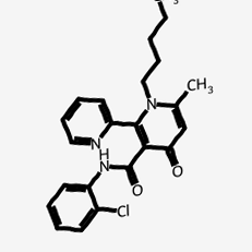 CCCCCn1c(C)cc(=O)c(C(=O)Nc2ccccc2Cl)c1-c1ccccn1